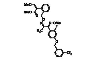 COC=C(C(=O)OC)c1ccccc1CON=C(C)C(=NOC)c1ccc(OCc2cccc(C(F)(F)F)c2)cc1F